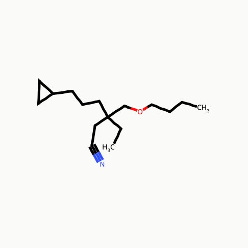 CCCCOCC(CC)(CC#N)CCCC1CC1